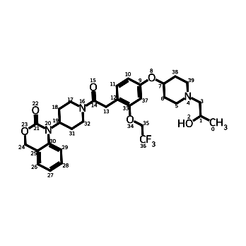 CC(O)CN1CCC(Oc2ccc(CC(=O)N3CCC(N4C(=O)OCc5ccccc54)CC3)c(OCC(F)(F)F)c2)CC1